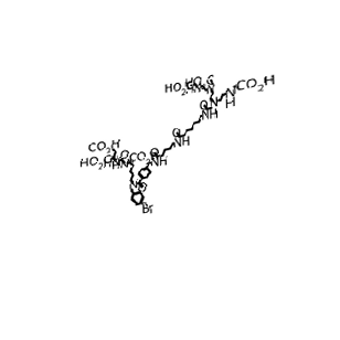 O=C(O)CC[C@@H](NC(=O)N[C@H](CCCCN(Cc1ccc(Br)cc1)C(=O)c1ccc(CNC(=O)CCCCNC(=O)CCCCCCNC(=O)CN(CCNCC(=O)O)CCN(CCNCC(=O)O)CC(=O)O)cc1)C(=O)O)C(=O)O